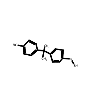 CC(C)(c1ccc(O)cc1)c1ccc(OS)cc1